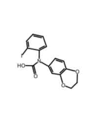 O=C(O)N(c1ccc2c(c1)OCCO2)c1ccccc1I